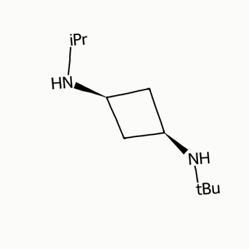 CC(C)N[C@H]1C[C@@H](NC(C)(C)C)C1